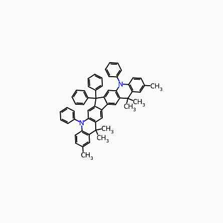 Cc1ccc2c(c1)C(C)(C)c1cc3c(cc1N2c1ccccc1)C(c1ccccc1)(c1ccccc1)c1cc2c(cc1-3)C(C)(C)c1cc(C)ccc1N2c1ccccc1